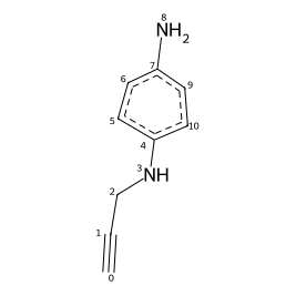 C#CCNc1ccc(N)cc1